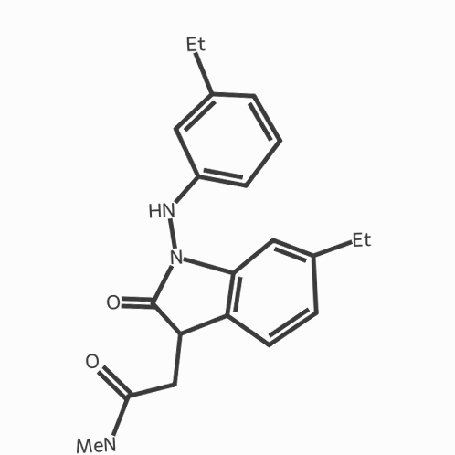 CCc1cccc(NN2C(=O)C(CC(=O)NC)c3ccc(CC)cc32)c1